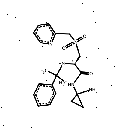 CC(N[C@@H](CS(=O)(=O)Cc1ccccn1)C(=O)NC1(N)CC1)(c1ccccc1)C(F)(F)F